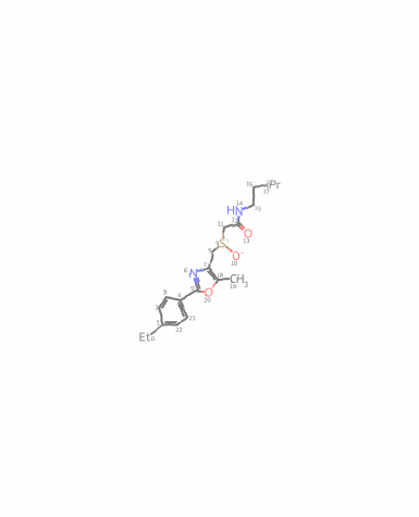 CCc1ccc(-c2nc(C[S+]([O-])CC(=O)NCCC(C)C)c(C)o2)cc1